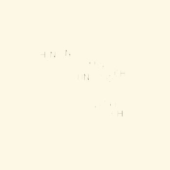 COC(=O)CCC(NC(=O)c1ccc(N)nc1)C(=O)OC